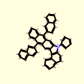 c1ccc(-n2c3cc4c(-c5ccc6ccccc6c5)c5ccccc5c(-c5ccc6ccccc6c5)c4cc3c3c4ccccc4ccc32)cc1